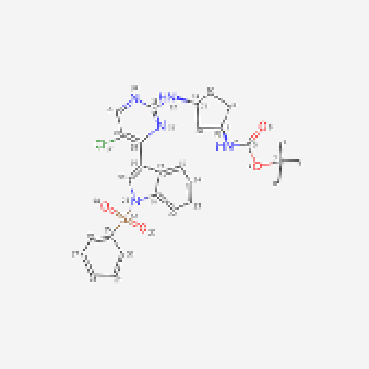 CC(C)(C)OC(=O)N[C@@H]1CC[C@H](Nc2ncc(Cl)c(-c3cn(S(=O)(=O)c4ccccc4)c4ccccc34)n2)C1